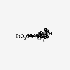 CCOC(=O)CN1CCC2(CC1)CC(COc1ccc(-c3ccc(N4CCc5cccc(C(=O)Nc6nc7ccccc7s6)c5C4)nc3C(=O)OC(C)(C)C)c(C(F)(F)F)c1)C2